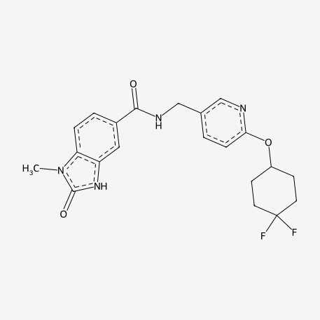 Cn1c(=O)[nH]c2cc(C(=O)NCc3ccc(OC4CCC(F)(F)CC4)nc3)ccc21